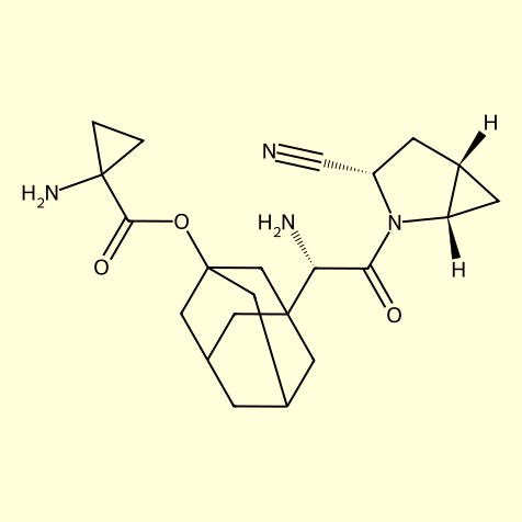 N#C[C@@H]1C[C@@H]2C[C@@H]2N1C(=O)[C@@H](N)C12CC3CC(CC(OC(=O)C4(N)CC4)(C3)C1)C2